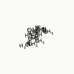 C=CC(=O)Nc1cc(Nc2cn3c(-c4cnn(C)c4)cnc3cn2)c(OC)cc1OCCN(C)C